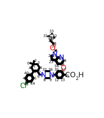 CC1(C)CCC(CN2CCN(c3ccc(C(=O)O)c(Oc4cnc5c(ccn5COCC[Si](C)(C)C)c4)c3)CC2)=C(c2ccc(Cl)cc2)C1